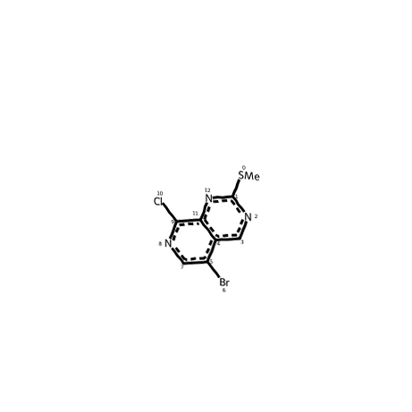 CSc1ncc2c(Br)cnc(Cl)c2n1